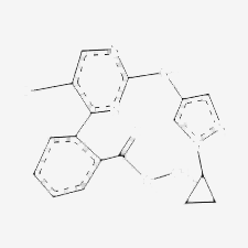 COC(=O)c1ccccc1-c1nc(Nc2cnn(C3CC3)c2)ncc1Cl